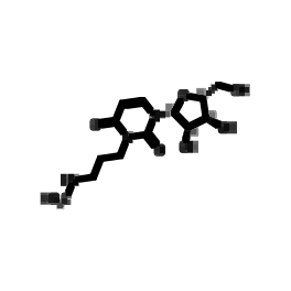 O=C(O)NCCCn1c(=O)ccn([C@@H]2O[C@H](CO)[C@@H](O)[C@H]2O)c1=O